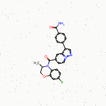 CC1COc2cc(F)ccc2N1C(=O)c1ccn2ncc(-c3ccc(C(N)=O)cc3)c2c1